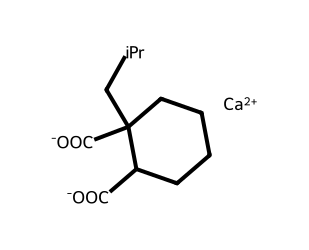 CC(C)CC1(C(=O)[O-])CCCCC1C(=O)[O-].[Ca+2]